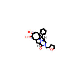 O=C1[C@@H]2CC3/C=C(O)\C(O)=C/C4=CC3(Cc3ccccc3)N2[C@H]4CN1CC1CCCO1